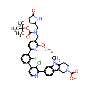 COc1nc(-c2cccc(-c3ccnc(-c4ccc5c6c(n(C)c5c4)CCN(C(=O)O)C6)c3Cl)c2Cl)ccc1CN(CC1CCC(=O)N1)C(=O)OC(C)(C)C